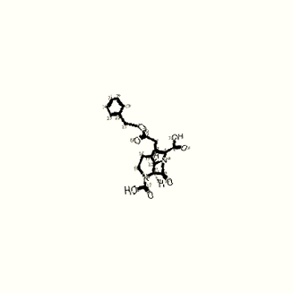 O=C(CC1=C(C(=O)O)N2C(=O)[C@@H]3[C@H]2C1CCN3C(=O)O)OCc1ccccc1